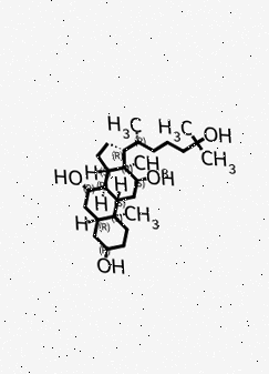 C[C@H](CCCC(C)(C)O)[C@H]1CC[C@H]2[C@@H]3[C@H](O)C[C@H]4C[C@H](O)CC[C@]4(C)[C@H]3C[C@H](O)[C@]12C